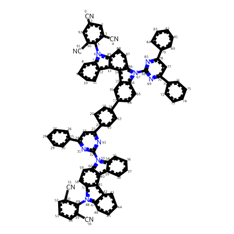 N#Cc1cc(C#N)c(-n2c3ccccc3c3c4c5cc(-c6ccc(-c7cc(-c8ccccc8)nc(-n8c9ccccc9c9c%10c%11ccccc%11n(-c%11c(C#N)cccc%11C#N)c%10ccc98)n7)cc6)ccc5n(-c5nc(-c6ccccc6)cc(-c6ccccc6)n5)c4ccc32)c(C#N)c1